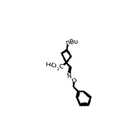 CCCCC1CC(C=NOCc2ccccc2)(C(=O)O)C1